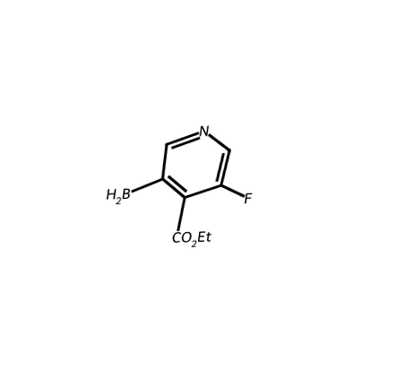 Bc1cncc(F)c1C(=O)OCC